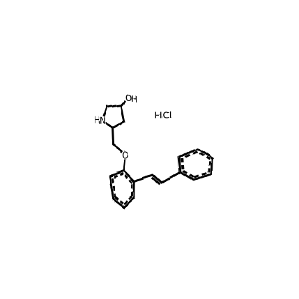 Cl.OC1CNC(COc2ccccc2C=Cc2ccccc2)C1